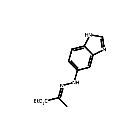 CCOC(=O)C(C)=NNc1ccc2[nH]cnc2c1